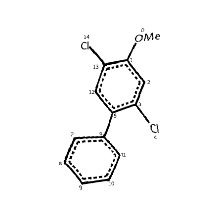 COc1cc(Cl)c(-c2ccccc2)cc1Cl